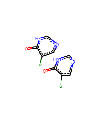 O=c1[nH]cncc1Br.O=c1[nH]cncc1Br